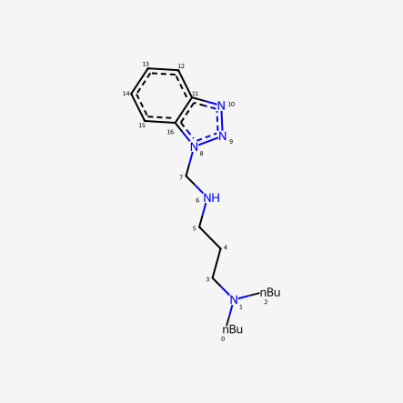 CCCCN(CCCC)CCCNCn1nnc2ccccc21